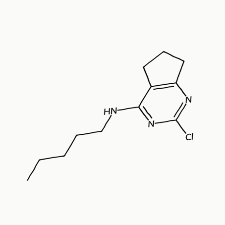 CCCCCNc1nc(Cl)nc2c1CCC2